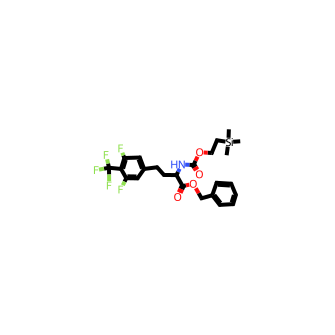 C[Si](C)(C)CCOC(=O)NC(CCc1cc(F)c(C(F)(F)F)c(F)c1)C(=O)OCc1ccccc1